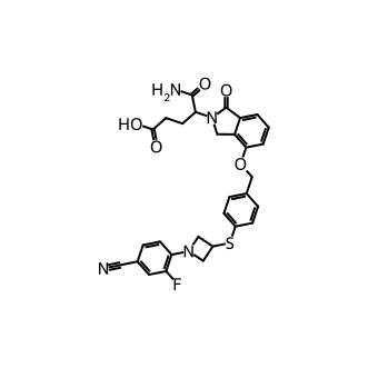 N#Cc1ccc(N2CC(Sc3ccc(COc4cccc5c4CN(C(CCC(=O)O)C(N)=O)C5=O)cc3)C2)c(F)c1